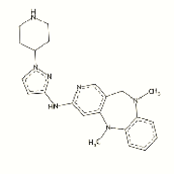 CN1Cc2cnc(Nc3ccn(C4CCNCC4)n3)cc2N(C)c2ccccc21